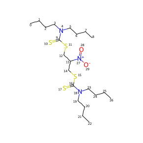 CCCCN(CCCC)C(=S)SCC(CSC(=S)N(CCCC)CCCC)[N+](=O)[O-]